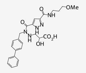 COCCCNC(=O)c1cc(C(=O)N(Cc2ccc(-c3ccccc3)cc2)NCC(O)C(=O)O)[nH]n1